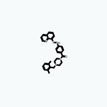 Cc1cccc(C)c1CN1CCN(C(=O)c2ccc(NSc3cccc4cccnc34)cc2)CC1